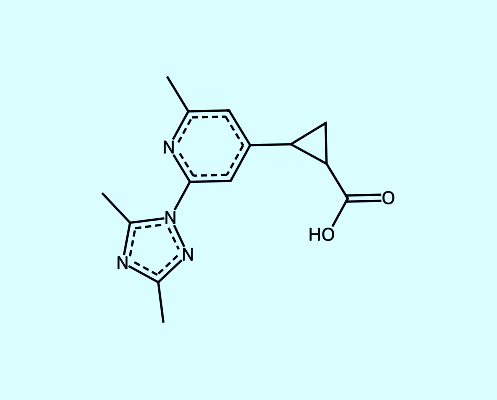 Cc1cc(C2CC2C(=O)O)cc(-n2nc(C)nc2C)n1